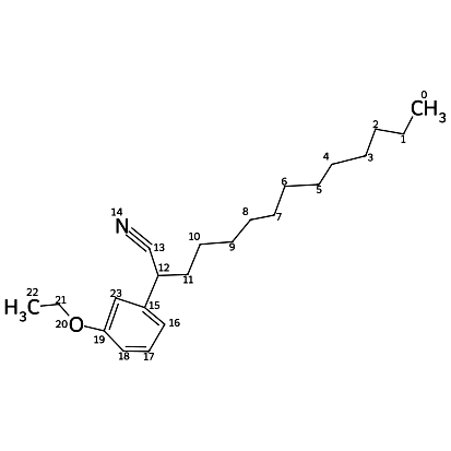 CCCCCCCCCCCCC(C#N)c1cccc(OCC)c1